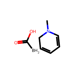 BC(=O)O.CN1C=CC=CC1